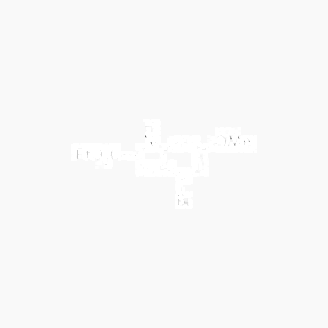 CCOC(=O)c1cc2c(Br)cc(OC)cc2[nH]1